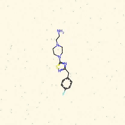 NCCN1CCN(c2nc(Cc3ccc(F)cc3)ns2)CC1